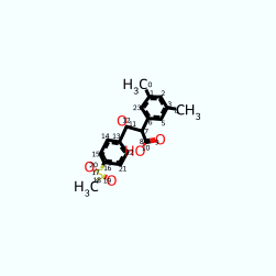 Cc1cc(C)cc(C(C(=O)O)C(=O)c2ccc(S(C)(=O)=O)cc2)c1